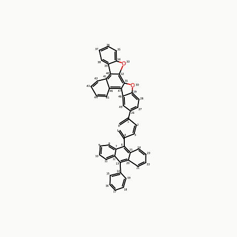 C=C(/C=C\C(=C)c1c2ccccc2c(-c2ccccc2)c2ccccc12)c1ccc2oc3c4oc5ccccc5c4c4ccccc4c3c2c1